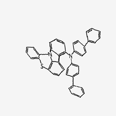 c1ccc(-c2ccc(N(c3ccc(-c4ccccc4)cc3)c3cccc4c3c3cccc5c3n4-c3ccccc3S5)cc2)cc1